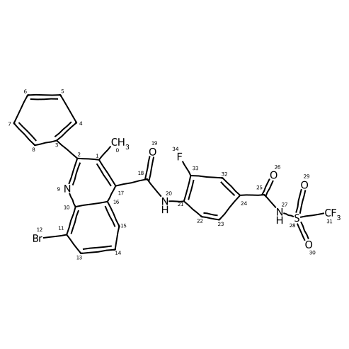 Cc1c(-c2ccccc2)nc2c(Br)cccc2c1C(=O)Nc1ccc(C(=O)NS(=O)(=O)C(F)(F)F)cc1F